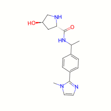 CC(NC(=O)[C@@H]1C[C@@H](O)CN1)c1ccc(-c2nccn2C)cc1